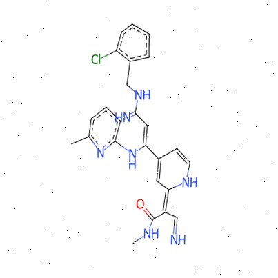 CNC(=O)/C(C=N)=C1C=C(/C(=C/C(=N)NCc2ccccc2Cl)Nc2cccc(C)n2)C=CN\1